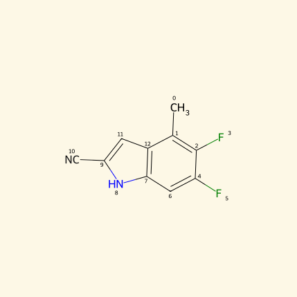 Cc1c(F)c(F)cc2[nH]c(C#N)cc12